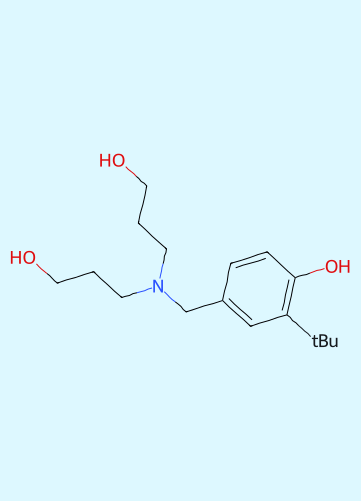 CC(C)(C)c1cc(CN(CCCO)CCCO)ccc1O